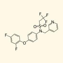 O=S(=O)(CC(F)(F)F)N(Cc1cccnc1)c1ccc(Oc2ccc(F)cc2F)cc1